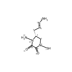 NN=NC[C@@H]1CN(S)C(=O)C(=O)N1N